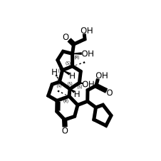 C[C@]12C[C@H](O)[C@H]3[C@@H](CCC4=CC(=O)CC(C(CC(=O)O)C5CCCC5)[C@@]43C)[C@@H]1CC[C@]2(O)C(=O)CO